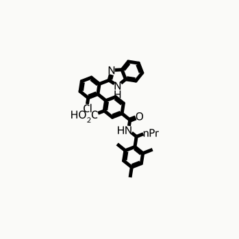 CCCC(NC(=O)c1ccc(-c2c(Cl)cccc2-c2nc3ccccc3[nH]2)c(C(=O)O)c1)c1c(C)cc(C)cc1C